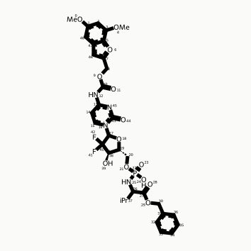 COc1cc(OC)c2oc(COC(=O)Nc3ccn(C4O[C@H](COP(=O)(O)NC(C(=O)OCc5ccccc5)C(C)C)[C@@H](O)C4(F)F)c(=O)n3)cc2c1